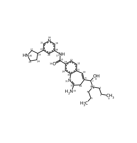 CCCN(CCC)C(O)C1=Cc2ccc(C(=O)Nc3cncc(C4CCNC4)c3)cc2N=C(N)C1